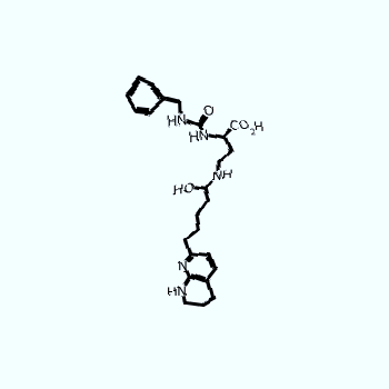 O=C(NCc1ccccc1)NC(CCNC(O)CCCCc1ccc2c(n1)NCCC2)C(=O)O